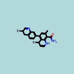 CCC1C=Nc2cc(-c3cc(C)c(C(N)=O)c4c3C(CC)C=CN4)ccc2C1